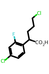 O=C(O)C(CCCCl)c1ccc(Cl)cc1F